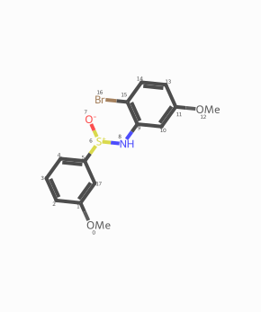 COc1cccc([S+]([O-])Nc2cc(OC)ccc2Br)c1